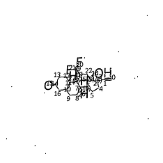 C#C[C@]1(O)CC[C@H]2[C@@H]3CCC4=C(CCC(=O)C4)[C@H]3[C@@H](C(F)F)C[C@@]21C